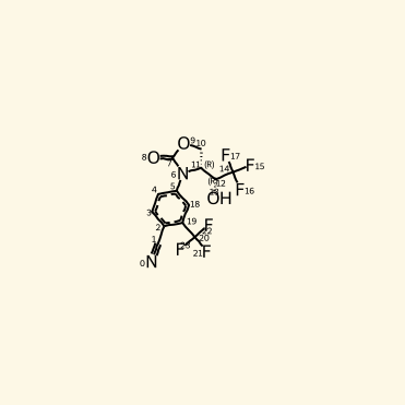 N#Cc1ccc(N2C(=O)OC[C@@H]2[C@@H](O)C(F)(F)F)cc1C(F)(F)F